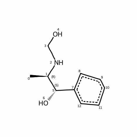 C[C@@H](NCO)[C@@H](O)c1ccccc1